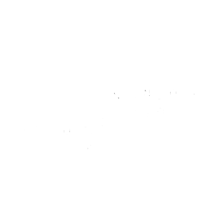 COCCCOc1cc2c(cc1Cl)-c1cc(=O)c(NC(=O)OCC(C)(C)C)cn1C(C(C)(C)C)C2